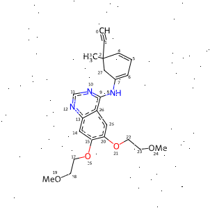 C#CC1(C)C=CC=C(Nc2ncnc3cc(OCCOC)c(OCCOC)cc23)C1